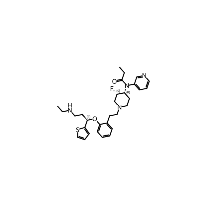 CCNCC[C@@H](Oc1ccccc1CCN1CC[C@@H](N(C(=O)CC)c2cccnc2)[C@@H](F)C1)c1cccs1